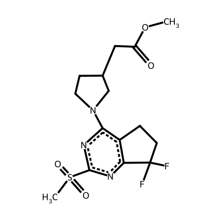 COC(=O)CC1CCN(c2nc(S(C)(=O)=O)nc3c2CCC3(F)F)C1